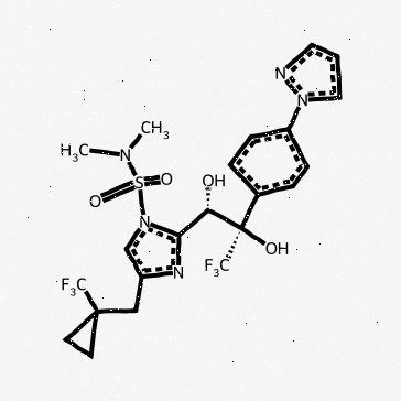 CN(C)S(=O)(=O)n1cc(CC2(C(F)(F)F)CC2)nc1[C@H](O)[C@](O)(c1ccc(-n2cccn2)cc1)C(F)(F)F